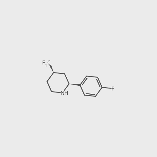 Fc1ccc([C@@H]2C[C@H](C(F)(F)F)CCN2)cc1